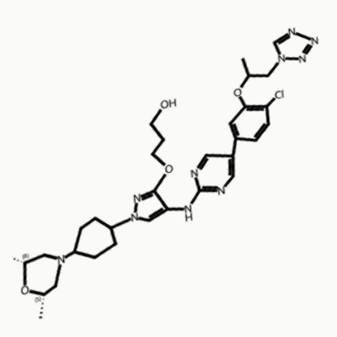 CC(Cn1cnnn1)Oc1cc(-c2cnc(Nc3cn(C4CCC(N5C[C@@H](C)O[C@@H](C)C5)CC4)nc3OCCCO)nc2)ccc1Cl